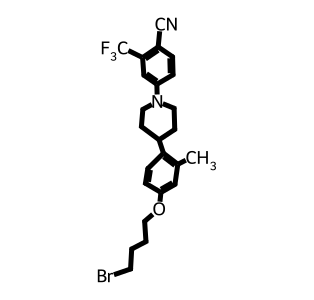 Cc1cc(OCCCCBr)ccc1C1CCN(c2ccc(C#N)c(C(F)(F)F)c2)CC1